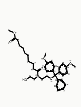 COC(=O)CCCCCCCCC(=O)N(CCO)CCOC(c1ccccc1)(c1ccc(OC)cc1)c1ccc(OC)cc1